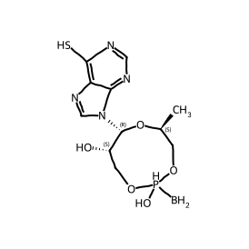 B[PH]1(O)OC[C@H](C)O[C@@H](n2cnc3c(S)ncnc32)[C@@H](O)CO1